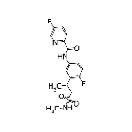 CNS(=O)(=O)C[C@@H](C)c1cc(NC(=O)c2ccc(F)cn2)ccc1F